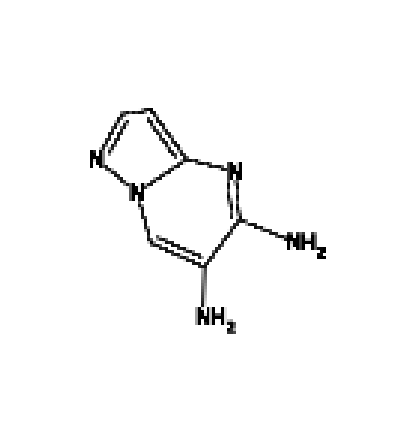 Nc1cn2nccc2nc1N